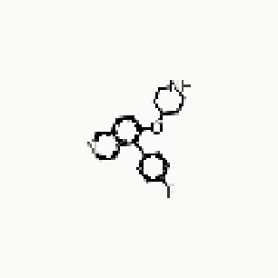 Fc1ccc(-c2c(OC3CCNCC3)ccc3cnccc23)cc1